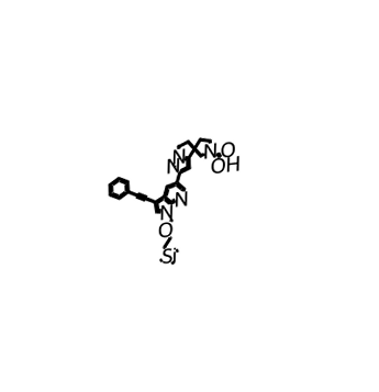 C[Si](C)(C)CCOCn1cc(C#Cc2ccccc2)c2cc(-c3cc4n(n3)CCC43CCN(C(=O)O)C3)cnc21